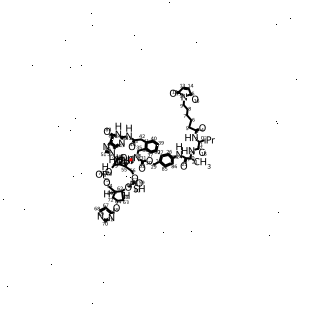 CC(C)C(NC(=O)CCCCCN1C(=O)C=CC1=O)C(=O)N[C@@H](C)C(=O)Nc1ccc(COC(=O)N(C)Cc2ccccc2CC(=O)Nc2nc3c(ncn3[C@@H]3O[C@@H]4CO[P@@](=O)(S)O[C@H]5C[C@H](Oc6ccncn6)C[C@@H]5CO[PH](=O)O[C@@H]3[C@@H]4O)c(=O)[nH]2)cc1